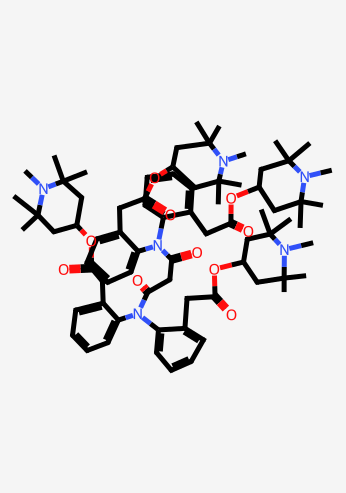 CN1C(C)(C)CC(OC(=O)Cc2ccccc2N(C(=O)CC(=O)N(c2ccccc2CC(=O)OC2CC(C)(C)N(C)C(C)(C)C2)c2ccccc2CC(=O)OC2CC(C)(C)N(C)C(C)(C)C2)c2ccccc2CC(=O)OC2CC(C)(C)N(C)C(C)(C)C2)CC1(C)C